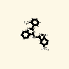 O=[N+]([O-])c1ccc2[nH]nc(Nc3nc(-c4ccccc4C(F)(F)F)nc4ccccc34)c2c1